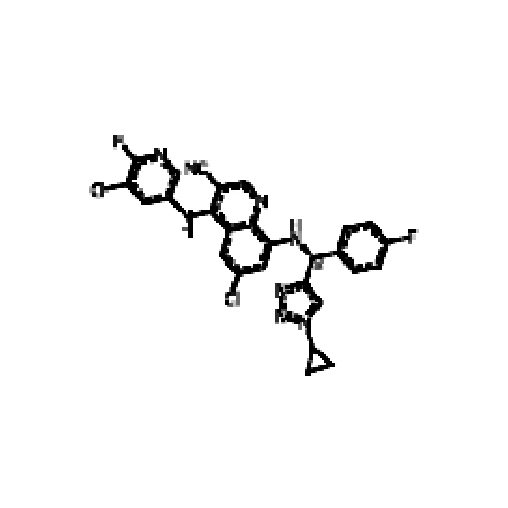 N#Cc1cnc2c(N[C@@H](c3ccc(F)cc3)c3cn(C4CC4)nn3)cc(Cl)cc2c1Nc1cnc(F)c(Cl)c1